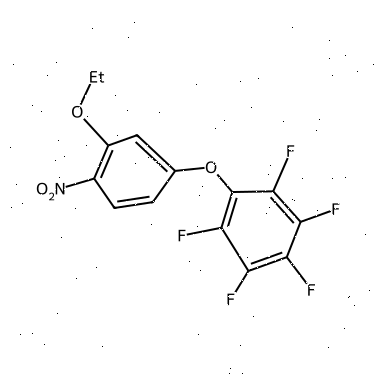 CCOc1cc(Oc2c(F)c(F)c(F)c(F)c2F)ccc1[N+](=O)[O-]